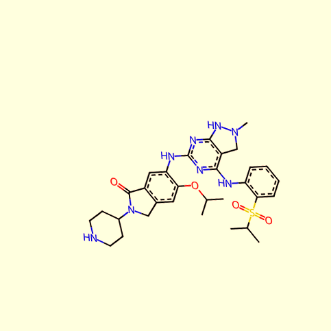 CC(C)Oc1cc2c(cc1Nc1nc(Nc3ccccc3S(=O)(=O)C(C)C)c3c(n1)NN(C)C3)C(=O)N(C1CCNCC1)C2